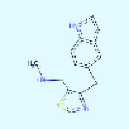 CNCc1scnc1Cc1ccc2[nH]ccc2c1